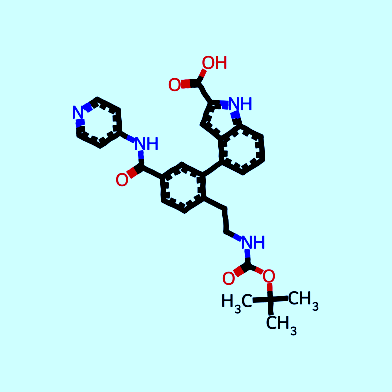 CC(C)(C)OC(=O)NCCc1ccc(C(=O)Nc2ccncc2)cc1-c1cccc2[nH]c(C(=O)O)cc12